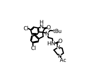 CC(=O)N1CCN(C(=O)NCCN(CC(C)(C)C)C2(Cc3cccc(Cl)c3)C(=O)Nc3cc(Cl)ccc32)CC1